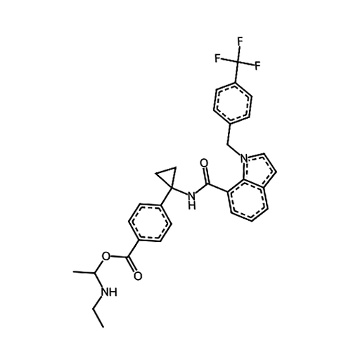 CCNC(C)OC(=O)c1ccc(C2(NC(=O)c3cccc4ccn(Cc5ccc(C(F)(F)F)cc5)c34)CC2)cc1